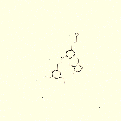 COc1cc(CNC(=O)c2cc(Cn3ccn(C)c3=N)cc(OCC3CC3)c2)cc(OC)c1